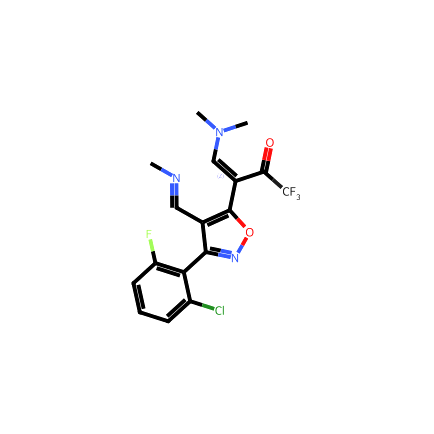 CN=Cc1c(-c2c(F)cccc2Cl)noc1/C(=C/N(C)C)C(=O)C(F)(F)F